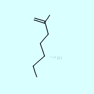 CC[C@@H](N)CCC(=O)O